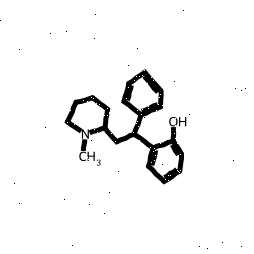 CN1CCCCC1CC(c1ccccc1)c1ccccc1O